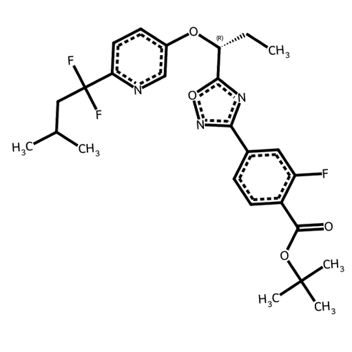 CC[C@@H](Oc1ccc(C(F)(F)CC(C)C)nc1)c1nc(-c2ccc(C(=O)OC(C)(C)C)c(F)c2)no1